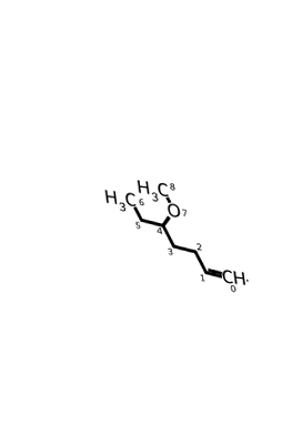 [CH]=CCCC(CC)OC